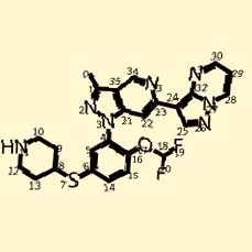 Cc1nn(-c2cc(SC3CCNCC3)ccc2OC(F)F)c2cc(-c3cnn4cccnc34)ncc12